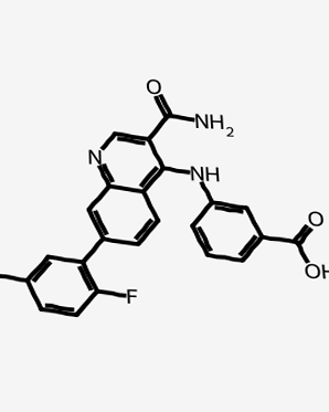 NC(=O)c1cnc2cc(-c3cc(F)ccc3F)ccc2c1Nc1cccc(C(=O)O)c1